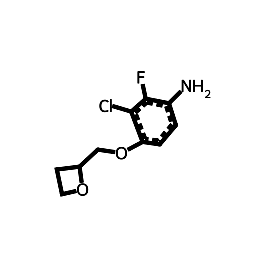 Nc1ccc(OCC2CCO2)c(Cl)c1F